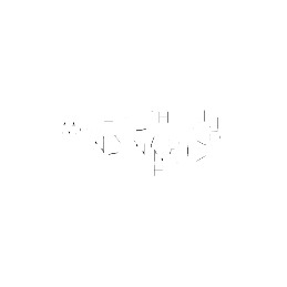 COc1cc(-c2nc(NC(=O)C3(c4ccc5c(c4)OC(F)(F)O5)CC3)cc(C)c2C)ccn1